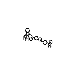 CN(C)C(=O)c1ccc(COC2CCC(C(O)CC3c4ccccc4-c4cncn43)CC2)cc1